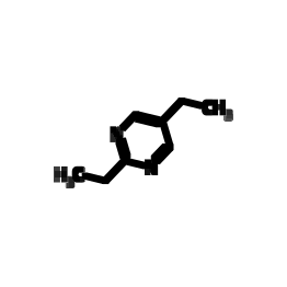 CCc1cnc(CC)nc1